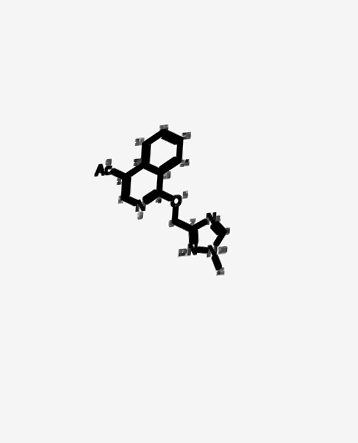 CC(=O)c1cnc(OCc2ncn(C)n2)c2ccccc12